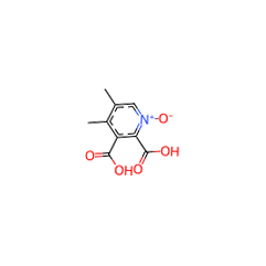 Cc1c[n+]([O-])c(C(=O)O)c(C(=O)O)c1C